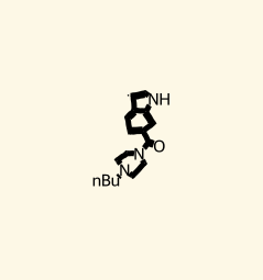 CCCCN1CCN(C(=O)c2ccc3[c]c[nH]c3c2)CC1